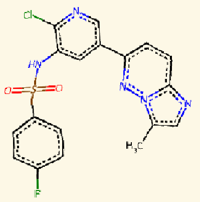 Cc1cnc2ccc(-c3cnc(Cl)c(NS(=O)(=O)c4ccc(F)cc4)c3)nn12